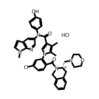 Cc1c(C(=O)N(c2ccc(O)cc2)c2cnc3c(ccn3C)c2)cn(-c2cc(Cl)ccc2C(=O)N2Cc3ccccc3C[C@H]2CN2CCOCC2)c1C.Cl